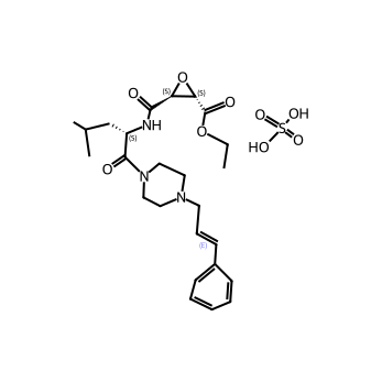 CCOC(=O)[C@H]1O[C@@H]1C(=O)N[C@@H](CC(C)C)C(=O)N1CCN(C/C=C/c2ccccc2)CC1.O=S(=O)(O)O